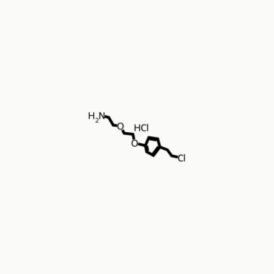 Cl.NCCOCCOc1ccc(CCCl)cc1